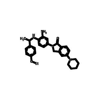 CCOc1ccc(C(C)Nc2ccc(N3Cc4cc(N5CCCCC5)ccc4C3=O)cc2N)cc1